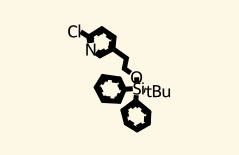 CC(C)(C)[Si](OCCc1ccc(Cl)nc1)(c1ccccc1)c1ccccc1